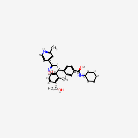 Cc1cc(/C(C[C@H](c2ccc(C(=O)NC3CCCCC3)cc2)c2ccccc2C)=N/O)ccn1.O=C(O)O